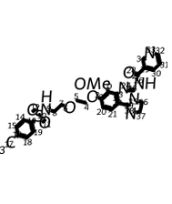 COc1c(OCCOCCNS(=O)(=O)c2ccc(C)cc2)ccc2c1N=C(NC(=O)c1cccnc1)N1CCN=C21